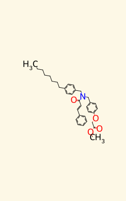 CCCCCCCCc1ccc(CN(Cc2ccc(OCC(=O)OC)cc2)C(=O)/C=C/c2ccccc2)cc1